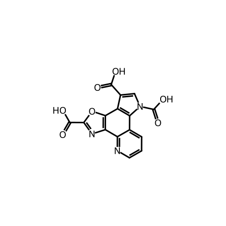 O=C(O)c1nc2c3ncccc3c3c(c(C(=O)O)cn3C(=O)O)c2o1